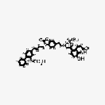 CC(C)(C)[Si](C)(C)OC(CNCCc1ccc2c(c1)oc(=O)n2CC/C=C/c1ccc(-c2ccccc2)c(NC(=O)O)c1)c1ccc(O)c2[nH]c(=O)ccc12